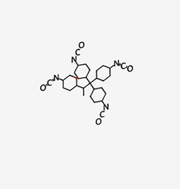 CC(C1CCC(N=C=O)CC1)C(C1CCC(N=C=O)CC1)(C1CCC(N=C=O)CC1)C1CCC(N=C=O)CC1